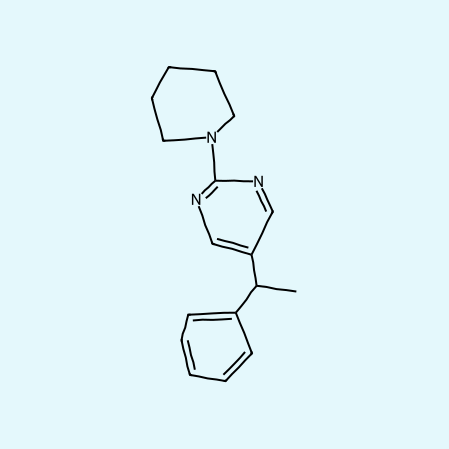 CC(c1ccccc1)c1cnc(N2CCCCC2)nc1